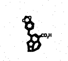 O=C(O)C1=CC(Cc2ccc3c(c2)OCO3)C2CC3CC4C=CC1C2C43